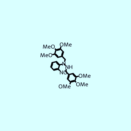 COc1cc(CNN(Cc2cc(OC)c(OC)c(OC)c2)c2ccccc2[N+](=O)[O-])cc(OC)c1OC